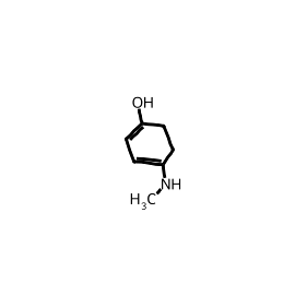 CNC1=CC=C(O)CC1